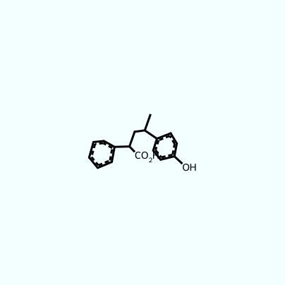 CC(CC(C(=O)O)c1ccccc1)c1ccc(O)cc1